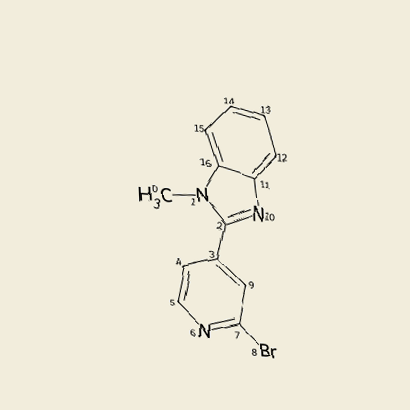 Cn1c(-c2ccnc(Br)c2)nc2ccccc21